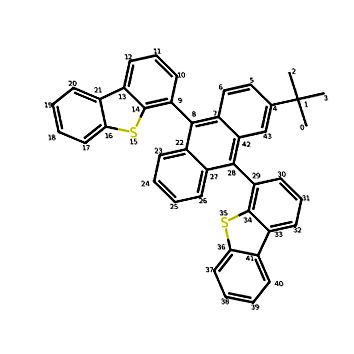 CC(C)(C)c1ccc2c(-c3cccc4c3sc3ccccc34)c3ccccc3c(-c3cccc4c3sc3ccccc34)c2c1